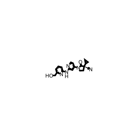 N#C[C@@]1(C2CC2)CCN(c2ccnc(Nc3cccc(CO)n3)c2)C1=O